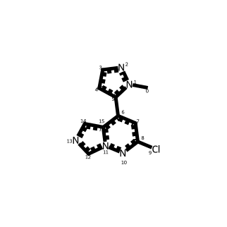 Cn1nccc1-c1cc(Cl)nn2cncc12